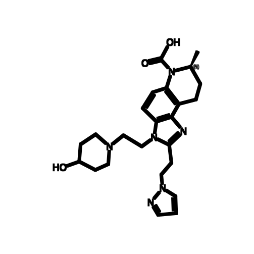 C[C@H]1CCc2c(ccc3c2nc(CCn2cccn2)n3CCN2CCC(O)CC2)N1C(=O)O